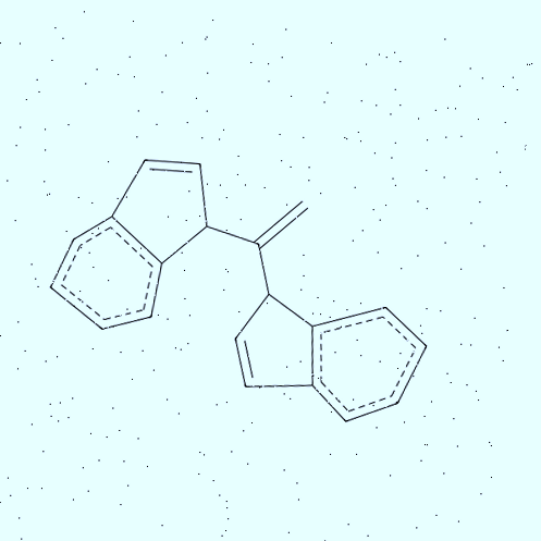 C=C(C1C=Cc2ccccc21)C1C=Cc2ccccc21